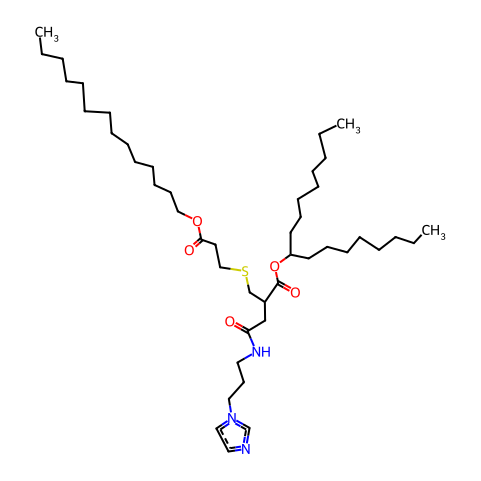 CCCCCCCCCCCCCCOC(=O)CCSCC(CC(=O)NCCCn1ccnc1)C(=O)OC(CCCCCCCC)CCCCCCCC